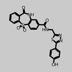 O=C(NCc1nnc(-c2ccc(O)cc2)s1)c1ccc2c(c1)NC(=O)c1ccccc1S2(=O)=O